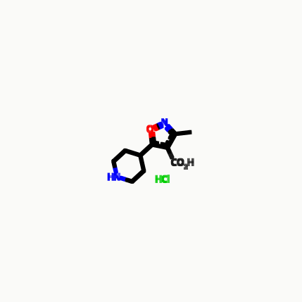 Cc1noc(C2CCNCC2)c1C(=O)O.Cl